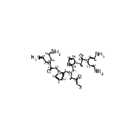 CCC(=O)CN(Cc1nccn1CC(=O)N(CCN)CCN)Cc1nccn1CC(=O)N(CCN)CCN